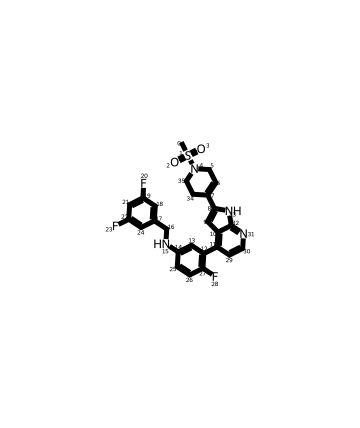 CS(=O)(=O)N1CC=C(c2cc3c(-c4cc(NCc5cc(F)cc(F)c5)ccc4F)ccnc3[nH]2)CC1